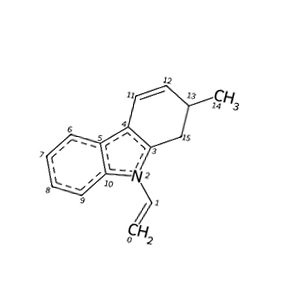 C=Cn1c2c(c3ccccc31)C=CC(C)C2